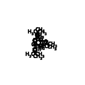 COc1ccc2oc(-c3ccc(C(C)(C)C)cc3)c(C3=C(c4cc(-c5ccc(C(C)(C)C)s5)sc4-c4ccc(C(C)(C)C)s4)C(F)(F)C(F)(F)C3(F)F)c2c1